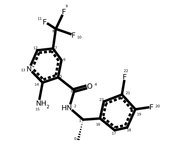 C[C@H](NC(=O)c1cc(C(F)(F)F)cnc1N)c1ccc(F)c(F)c1